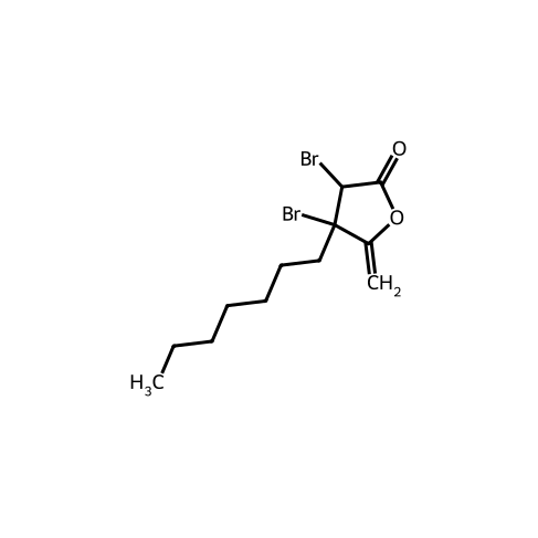 C=C1OC(=O)C(Br)C1(Br)CCCCCCC